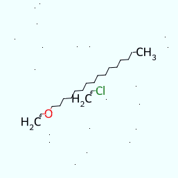 C=CCl.C=COCCCCCCCCCCCCCCCC